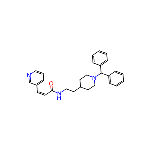 O=C(/C=C\c1cccnc1)NCCC1CCN(C(c2ccccc2)c2ccccc2)CC1